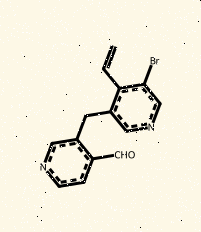 C=Cc1c(Br)cncc1Cc1cnccc1C=O